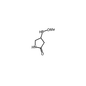 COBC1CNC(=O)C1